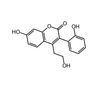 O=c1oc2cc(O)ccc2c(CCO)c1-c1ccccc1O